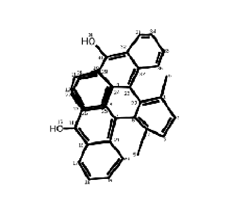 Cc1ccc(C)c(-c2c3ccccc3c(O)c3ccccc23)c1-c1c2ccccc2c(O)c2ccccc12